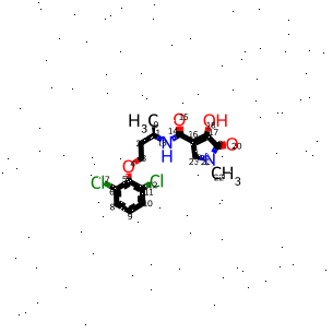 C[C@H](CCOc1c(Cl)cccc1Cl)NC(=O)C1=C(O)C(=O)N(C)C1